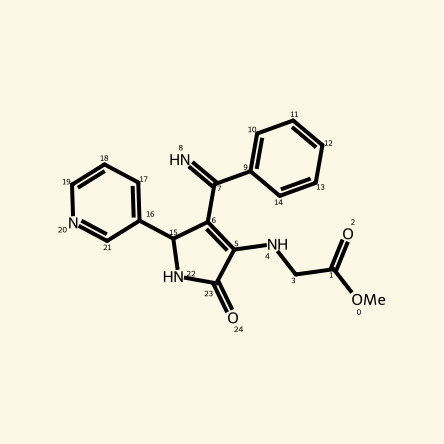 COC(=O)CNC1=C(C(=N)c2ccccc2)C(c2cccnc2)NC1=O